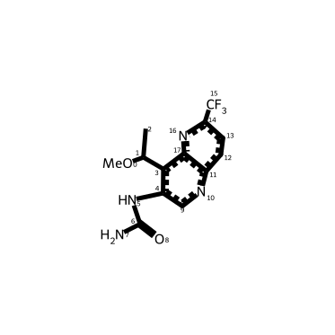 COC(C)c1c(NC(N)=O)cnc2ccc(C(F)(F)F)nc12